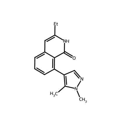 CCc1cc2cccc(-c3cnn(C)c3C)c2c(=O)[nH]1